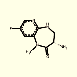 CN1C(=O)[C@@H](N)CNc2ncc(F)cc21